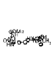 CCCN(Cc1ncc(-c2ccc3cc(-c4ccc(-c5c[nH]c([C@@H]6CC(=O)CN6C(=O)CNC(=O)OC)n5)cc4)ccc3c2)[nH]1)C(=O)[C@@H](c1ccccc1)N(C)C